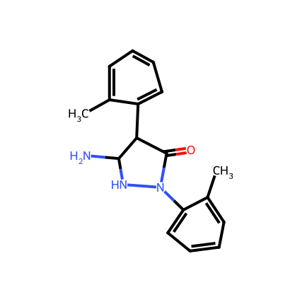 Cc1ccccc1C1C(=O)N(c2ccccc2C)NC1N